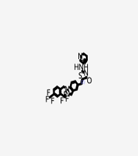 O=C1N=C(N[C@H]2CN3CCC2CC3)S/C1=C\c1ccc2c(cnn2Cc2ccc(C(F)(F)F)cc2C(F)(F)F)c1